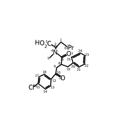 CC(C)C[C@H](C(=O)O)N(C)C(=O)C(CC(=O)c1ccc(Cl)cc1)Cc1ccccc1